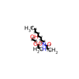 C=CC(=O)NCCCCCCCC.C=CC(=O)OCCO